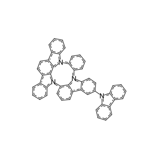 c1ccc2c(c1)c1ccccc1n2-c1ccc2c(c1)c1cccc3c1n2c1ccccc1n1c2ccccc2c2ccc4c5ccccc5n3c4c21